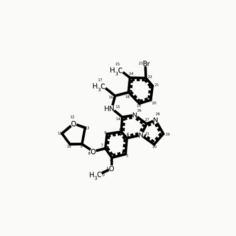 COc1cc2c(cc1OC1CCOC1)c(NC(C)c1cccc(Br)c1C)nc1nccn12